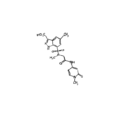 Cc1cc(S(=O)(=O)N(C)CC(=O)Nc2ccn(C)c(=O)c2)c2[nH]nc(C(=O)O)c2c1